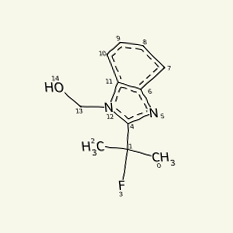 CC(C)(F)c1nc2ccccc2n1CO